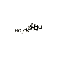 Cn1nc(OCC(=O)O)cc1-c1ccc(Cl)cc1Cl